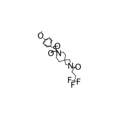 COc1ccc(S(=O)(=O)N2CCC3(CC2)CN(C(=O)CCC(F)(F)F)C3)cc1